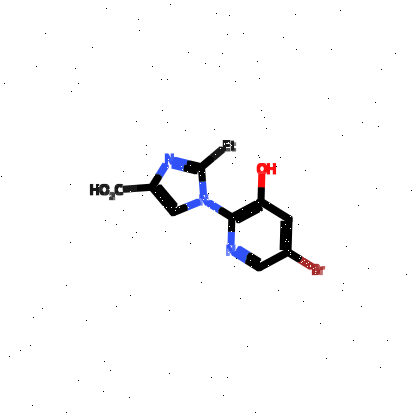 CCc1nc(C(=O)O)cn1-c1ncc(Br)cc1O